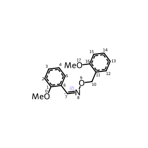 COc1ccccc1/[C]=N\OCc1ccccc1OC